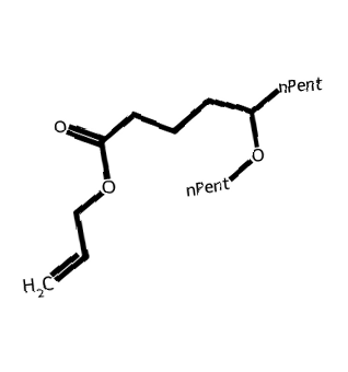 C=CCOC(=O)CCCC(CCCCC)OCCCCC